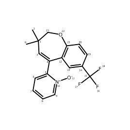 CC1(C)C=C(c2cccc[n+]2[O-])c2cc(C(F)(F)F)ccc2OC1